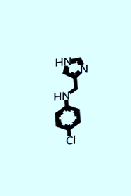 Clc1ccc(NCc2c[nH]cn2)cc1